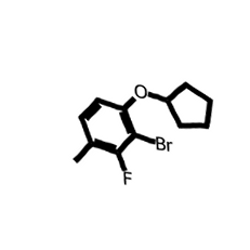 Cc1ccc(OC2CCCC2)c(Br)c1F